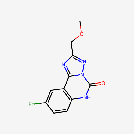 COCc1nc2c3cc(Br)ccc3[nH]c(=O)n2n1